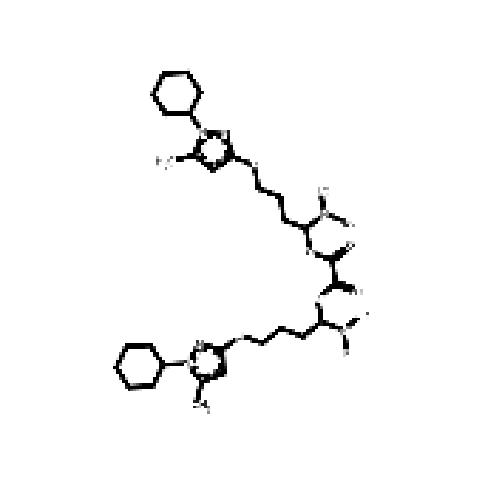 CCN(CC)C(CCCOc1cc(C)n(C2CCCCC2)n1)OC(=O)C(=O)OC(CCCOc1cc(C)n(C2CCCCC2)n1)N(CC)CC